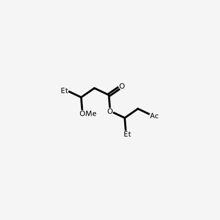 CCC(CC(=O)OC(CC)CC(C)=O)OC